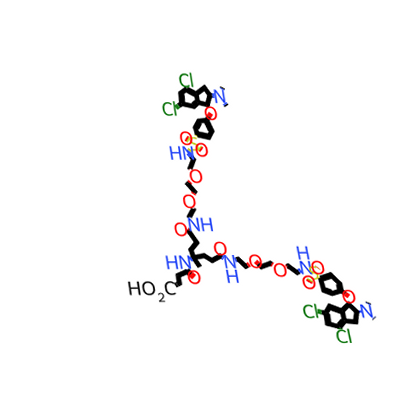 CN(C)C1Cc2c(Cl)cc(Cl)cc2[C@@H]1Oc1ccc(S(=O)(=O)NCCOCCOCCNC(=O)CCC(C)(CCC(=O)NCCOCCOCCNS(=O)(=O)c2ccc(O[C@H]3c4cc(Cl)cc(Cl)c4C[C@@H]3N(C)C)cc2)NC(=O)CCC(=O)O)cc1